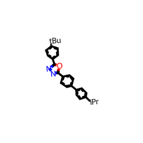 CC(C)c1ccc(-c2ccc(-c3nnc(-c4ccc(C(C)(C)C)cc4)o3)cc2)cc1